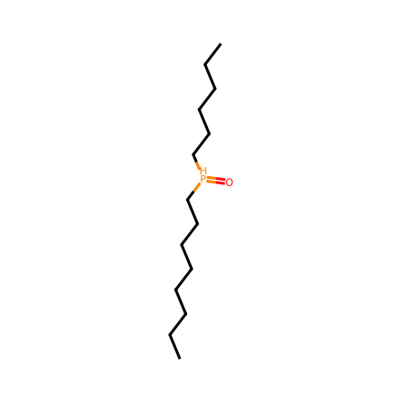 CCCCCCCC[PH](=O)CCCCCC